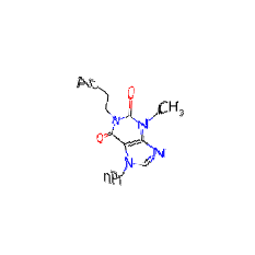 CCCn1cnc2c1c(=O)n(CCC(C)=O)c(=O)n2C